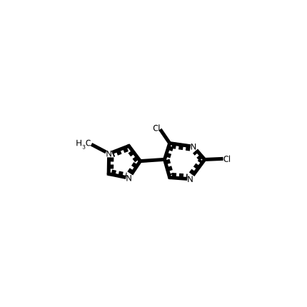 Cn1cnc(-c2cnc(Cl)nc2Cl)c1